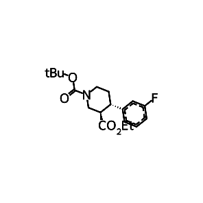 CCOC(=O)[C@H]1CN(C(=O)OC(C)(C)C)CC[C@@H]1c1cccc(F)c1